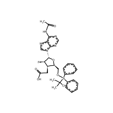 CC(=O)Nc1ncnc2c1ncn2[C@@H]1O[C@@H](CO[Si](c2ccccc2)(c2ccccc2)C(C)(C)C)[C@@H](CC(=O)O)[C@H]1F